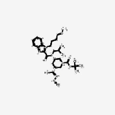 COCCCCn1c(C(=O)N(CC(C)C)[C@H]2C[C@@H](/C(N)=N/N=N)CN(C(=O)OC(C)(C)C)C2)nc2ccccc21